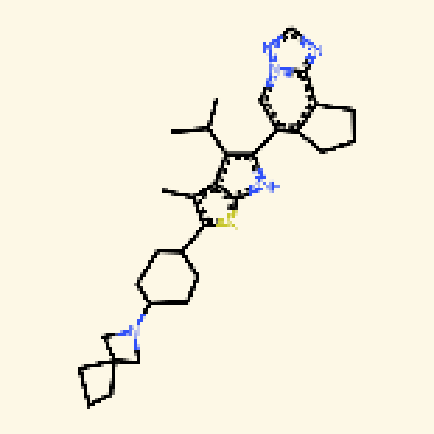 Cc1c(C2CCC(N3CC4(CCC4)C3)CC2)sc2[nH]c(-c3cn4ncnc4c4c3CCC4)c(C(C)C)c12